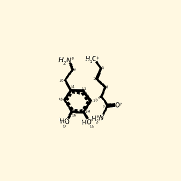 CCCCCC(N)=O.NCCc1ccc(O)c(O)c1